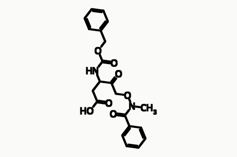 CN(OCC(=O)C(CC(=O)O)NC(=O)OCc1ccccc1)C(=O)c1ccccc1